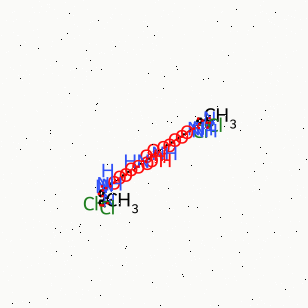 CN1Cc2c(Cl)cc(Cl)cc2C(c2cccc(/C(=C/NCCOCCOCCOCCOCCOCCNC(=O)CC[C@H](O)[C@@H](O)C(=O)NCCOCCOCCOCCOCCOCCN/C=C(\N=N)c3cccc([C@@H]4CN(C)Cc5c(Cl)cc(Cl)cc54)c3)N=N)c2)C1